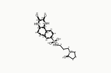 O=C1CCCN1CCCNS(=O)(=O)c1ccc2c(ccc3[nH]c(=O)c(=O)[nH]c32)c1